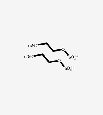 CCCCCCCCCCCCOS(=O)(=O)O.CCCCCCCCCCCCOS(=O)(=O)O